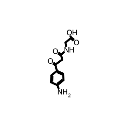 Nc1ccc(C(=O)CC(=O)NCC(=O)O)cc1